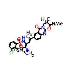 C=N/C(OC)=C(\C=C(/C)c1ccc2ncn(CC(C)C(=O)NC)c(=O)c2c1)NS(=O)(=O)c1cccc(Cl)c1C